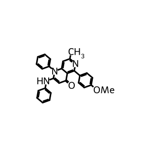 COc1ccc(-c2nc(C)cc3c2c(=O)cc(Nc2ccccc2)n3-c2ccccc2)cc1